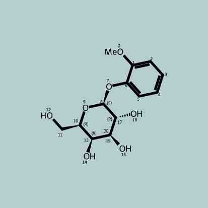 COc1ccccc1O[C@@H]1O[C@H](CO)[C@H](O)[C@H](O)[C@H]1O